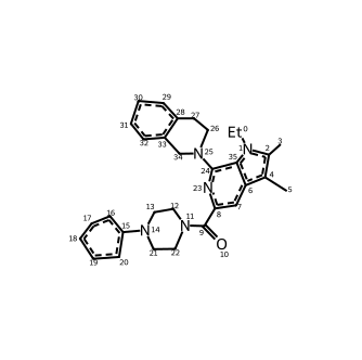 CCn1c(C)c(C)c2cc(C(=O)N3CCN(c4ccccc4)CC3)nc(N3CCc4ccccc4C3)c21